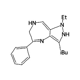 CCC(C)C1=C2N=C(c3ccccc3)CNC=C2N(CC)N1